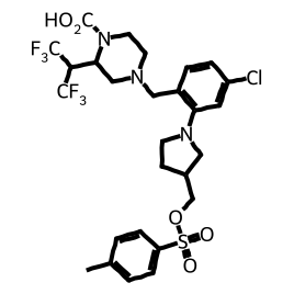 Cc1ccc(S(=O)(=O)OCC2CCN(c3cc(Cl)ccc3CN3CCN(C(=O)O)C(C(C(F)(F)F)C(F)(F)F)C3)C2)cc1